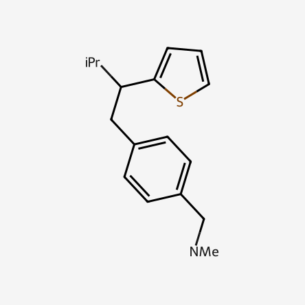 CNCc1ccc(CC(c2cccs2)C(C)C)cc1